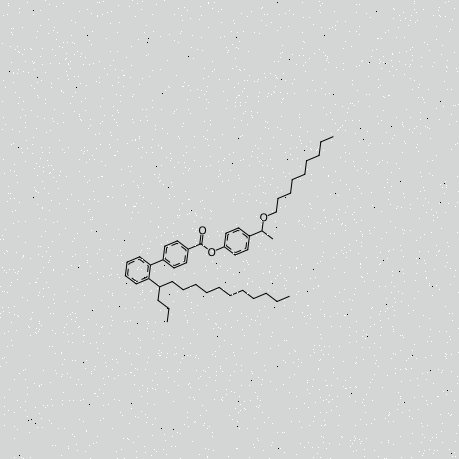 CCCCCCCCCCCC(CCC)c1ccccc1-c1ccc(C(=O)Oc2ccc(C(C)OCCCCCCCCC)cc2)cc1